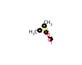 Cc1ccc([SH](c2ccc(C)cc2)c2ccc(OCc3ccc(I)o3)cc2)cc1